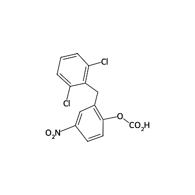 O=C(O)Oc1ccc([N+](=O)[O-])cc1Cc1c(Cl)cccc1Cl